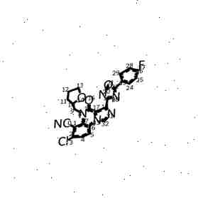 N#Cc1c(Cl)ccc2c1n(CC1CCCO1)c(=O)c1c(-c3noc(-c4ccc(F)cc4)n3)ncn12